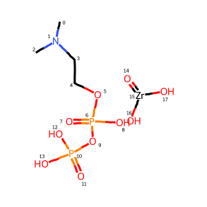 CN(C)CCOP(=O)(O)OP(=O)(O)O.[O]=[Zr]([OH])[OH]